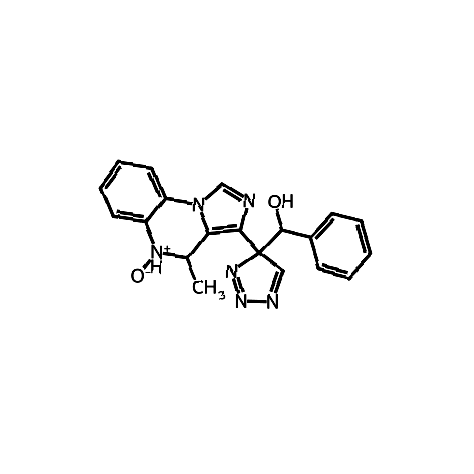 CC1c2c(C3(C(O)c4ccccc4)C=NN=N3)ncn2-c2ccccc2[NH+]1[O-]